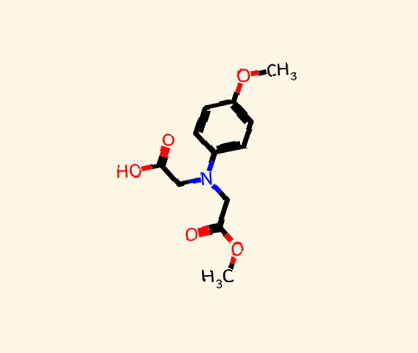 COC(=O)CN(CC(=O)O)c1ccc(OC)cc1